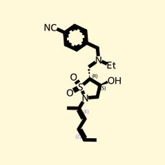 C/C=C\C=C(/C)N1C[C@H](O)[C@@H](CN(CC)Cc2ccc(C#N)cc2)S1(=O)=O